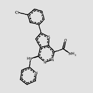 NC(=O)c1nnc(Nc2ccccn2)c2cc(-c3cccc(Cl)c3)sc12